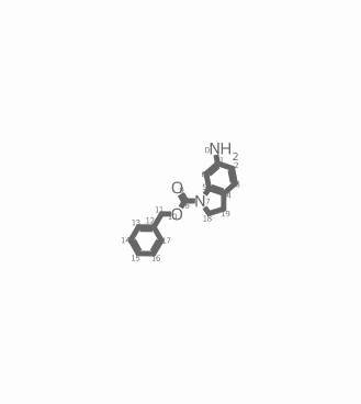 Nc1ccc2c(c1)N(C(=O)OCc1ccccc1)CC2